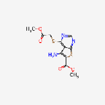 COC(=O)CSc1ncnc2sc(C(=O)OC)c(N)c12